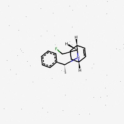 C[C@H](c1ccccc1)N1[C@@H]2C=C[C@@H](CC2)[C@H]1CF